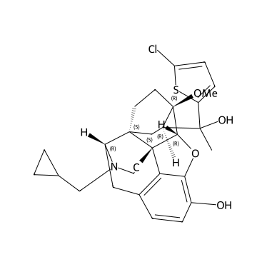 CO[C@]12CC[C@@]3(C[C@@H]1C(C)(O)c1ccc(Cl)s1)[C@H]1Cc4ccc(O)c5c4[C@@]3(CCN1CC1CC1)[C@H]2O5